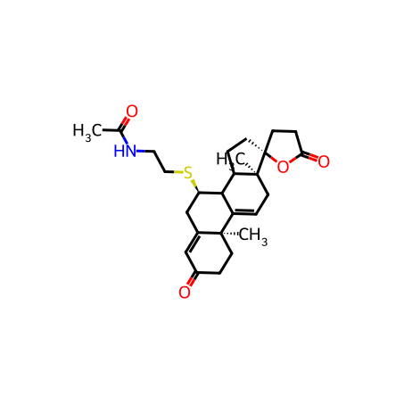 CC(=O)NCCS[C@@H]1CC2=CC(=O)CC[C@]2(C)C2=CC[C@@]3(C)C(CC[C@@]34CCC(=O)O4)C21